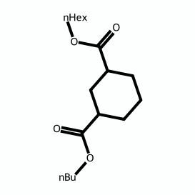 CCCCCCOC(=O)C1CCCC(C(=O)OCCCC)C1